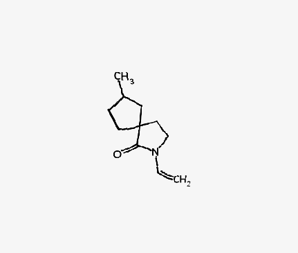 C=CN1CCC2(CCC(C)C2)C1=O